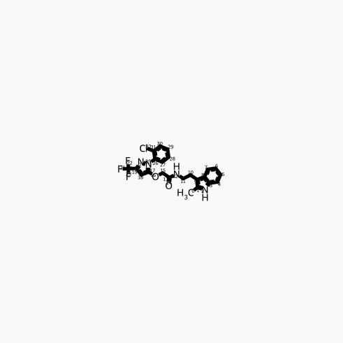 Cc1[nH]c2ccccc2c1CCNC(=O)COc1cc(C(F)(F)F)nn1-c1ccccc1Cl